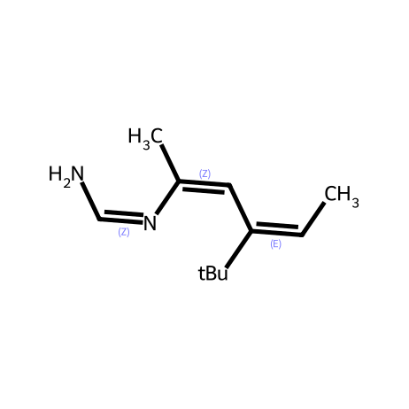 C\C=C(/C=C(C)\N=C/N)C(C)(C)C